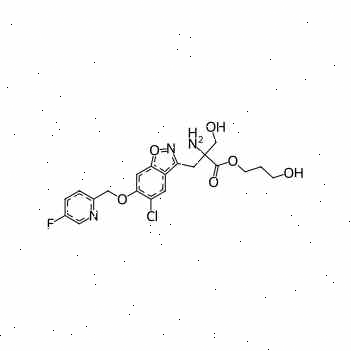 NC(CO)(Cc1noc2cc(OCc3ccc(F)cn3)c(Cl)cc12)C(=O)OCCCO